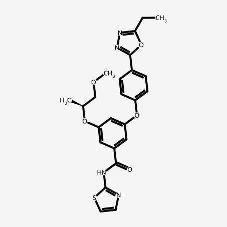 CCc1nnc(-c2ccc(Oc3cc(O[C@@H](C)COC)cc(C(=O)Nc4nccs4)c3)cc2)o1